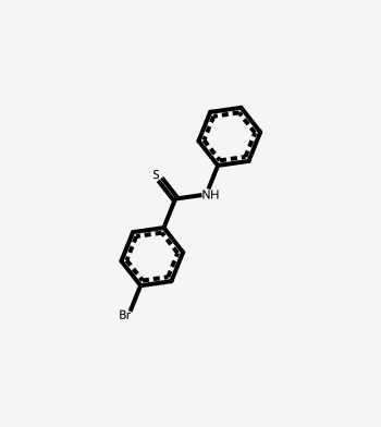 S=C(Nc1ccccc1)c1ccc(Br)cc1